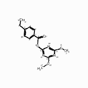 CCc1ccc(C(=O)Oc2nc(OC)nc(OC)n2)cc1